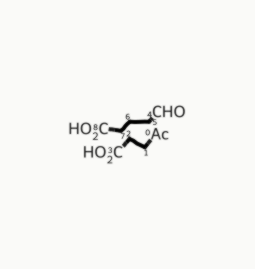 CC(=O)CCC(=O)O.O=CCCCC(=O)O